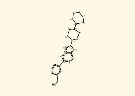 OCc1cccc(-c2ccc3nc(N4CCC(N5CCCCC5)CC4)sc3n2)c1